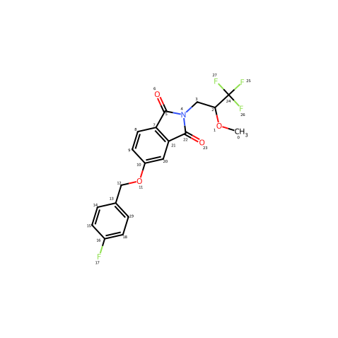 COC(CN1C(=O)c2ccc(OCc3ccc(F)cc3)cc2C1=O)C(F)(F)F